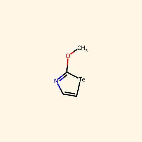 COc1ncc[te]1